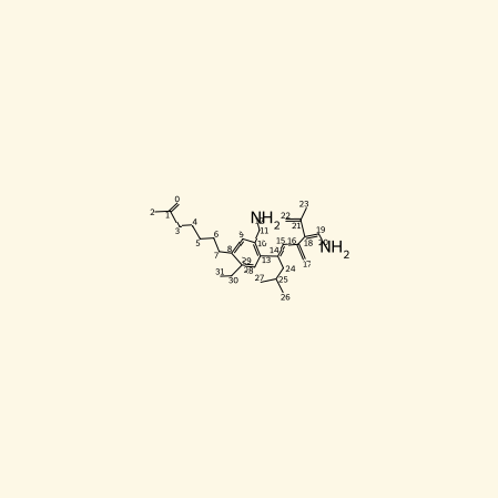 C=C(C)CCCCCc1cc(CN)c(/C(=C/C(=C)/C(=C\N)C(=C)C)CC(C)C)cc1CC